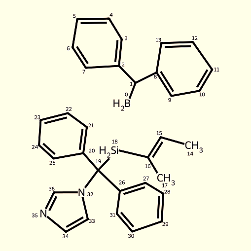 BC(c1ccccc1)c1ccccc1.CC=C(C)[SiH2]C(c1ccccc1)(c1ccccc1)n1ccnc1